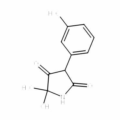 Cc1cccc(C2C(=O)NC(C)(C)C2=O)c1